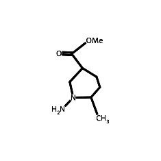 COC(=O)C1CCC(C)N(N)C1